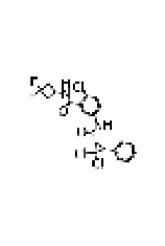 O=C(NC1CC(F)(F)C1)c1cc(NC(=O)[C@@H]2[C@@H](c3ccccc3)C2(Cl)Cl)ccc1Cl